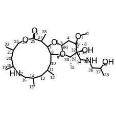 CO[C@]1(C)C[C@H](OC2C(C)CC(C)CC(C)CNC(C)CC(C)COC(=O)C2C)O[C@@H](C)[C@@]1(O)CNCC(C)O